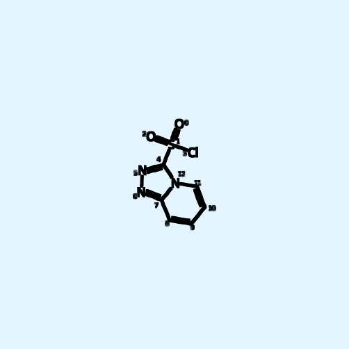 O=S(=O)(Cl)c1nnc2ccccn12